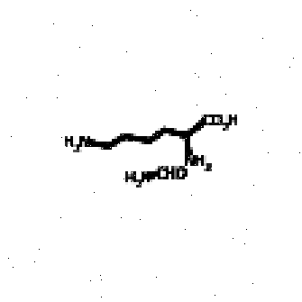 NC=O.NCCCCC(N)C(=O)O